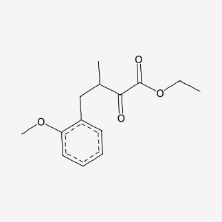 CCOC(=O)C(=O)C(C)Cc1ccccc1OC